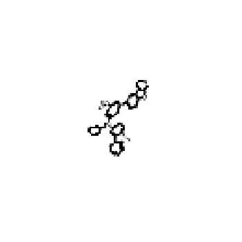 Brc1cc(-c2ccc3sc4ccccc4c3c2)cc(N(c2ccccc2)c2ccc3sc4ccccc4c3c2)c1